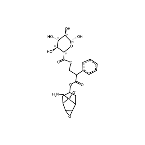 NC[N+]1([O-])C2CC(OC(=O)C(COC(=O)[C@H]3O[C@@H](O)[C@H](O)[C@@H](O)[C@@H]3O)c3ccccc3)CC1C1OC12